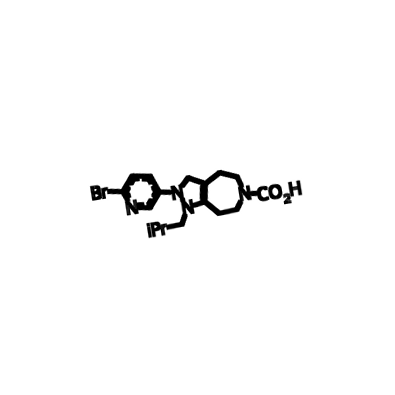 CC(C)CN1C2=C(CCN(C(=O)O)CC2)CN1c1ccc(Br)nc1